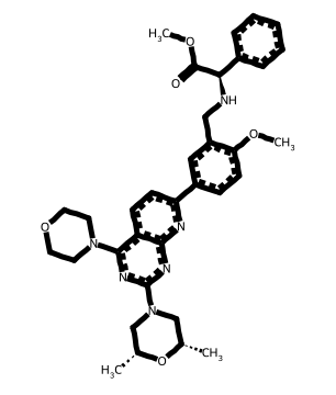 COC(=O)[C@H](NCc1cc(-c2ccc3c(N4CCOCC4)nc(N4C[C@@H](C)O[C@@H](C)C4)nc3n2)ccc1OC)c1ccccc1